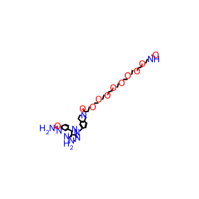 Nc1nc2cc(-c3nn(Cc4ccc5c(c4)CCN(C(=O)CCOCCOCCOCCOCCOCCOCCOCCOCCNC=O)C5)c4ncnc(N)c34)ccc2o1